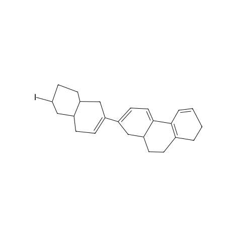 IC1CCC2CC(C3=CC=C4C5=C(CCC=C5)CCC4C3)=CCC2C1